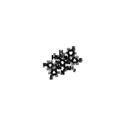 CNC(N)=c1c2nc(-c3ccc(F)cc3)c(-c3ccc(F)cc3)nc2c(=C(N)C#N)c2nc(-c3ccc(F)cc3)c(-c3ccc(F)cc3)nc12